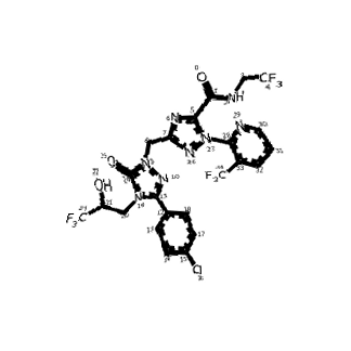 O=C(NCC(F)(F)F)c1nc(Cn2nc(-c3ccc(Cl)cc3)n(CC(O)C(F)(F)F)c2=O)nn1-c1ncccc1C(F)(F)F